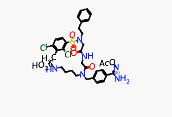 CC(=O)O/N=C(/N)c1ccc(CN(CCCCNC(=O)O)C(=O)CNC(=O)CN(CCc2ccccc2)S(=O)(=O)c2ccc(Cl)c(C)c2Cl)cc1